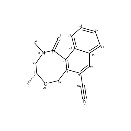 C[C@@H]1CN(C)C(=O)c2c(c(C#N)cc3ccccc23)CO1